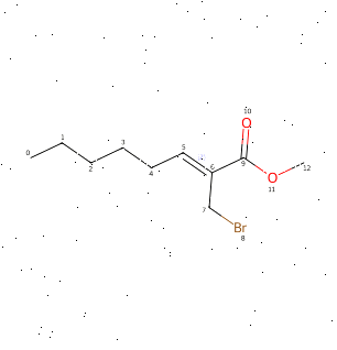 CCCCC/C=C(\CBr)C(=O)OC